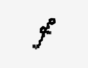 CC(=O)c1c(OCCCCN)cccc1OCc1ccccc1